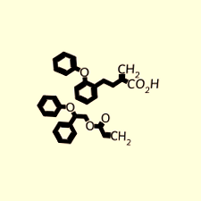 C=C(CCc1ccccc1Oc1ccccc1)C(=O)O.C=CC(=O)OCC(Oc1ccccc1)c1ccccc1